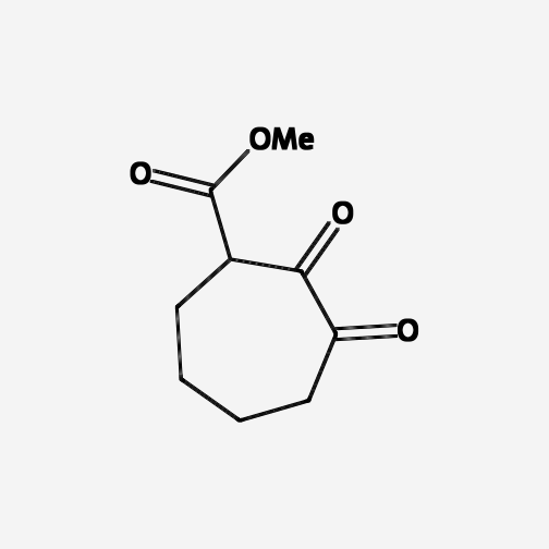 COC(=O)C1CCCCC(=O)C1=O